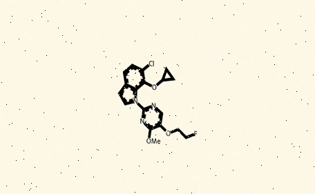 COc1nc(-n2ccc3ccc(Cl)c(OC4CC4)c32)ncc1OCCF